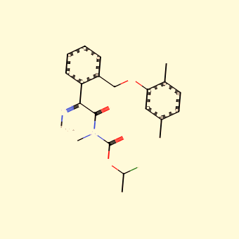 CO/N=C(\C(=O)N(C)C(=O)OC(C)Cl)c1ccccc1COc1cc(C)ccc1C